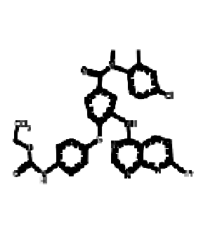 Cc1cc(Cl)ccc1N(C)C(=O)c1ccc(Sc2ccc(NC(=O)OCC(Cl)(Cl)Cl)cc2)c(Nc2ncnc3nc(C(C)C)ccc23)c1